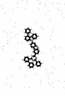 c1ccc(-c2nc(-c3ccc4sc5cc(-n6c7ccccc7c7c(-c8ccccc8)cccc76)ccc5c4c3)nc(-c3ccccc3-c3ccccc3)n2)cc1